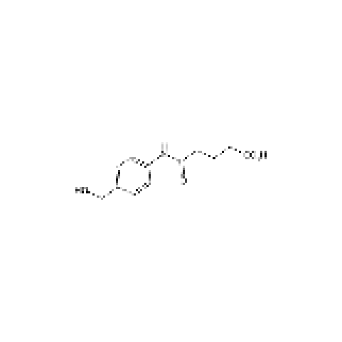 O=C(O)CCCC(=O)Nc1ccc(CO)cc1